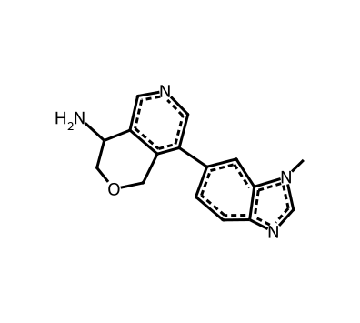 Cn1cnc2ccc(-c3cncc4c3COCC4N)cc21